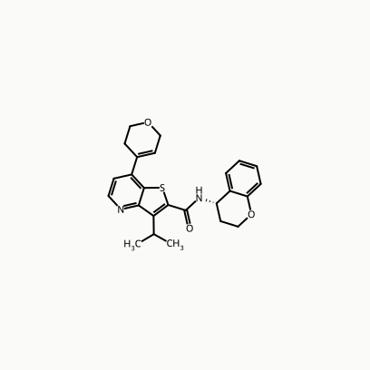 CC(C)c1c(C(=O)N[C@H]2CCOc3ccccc32)sc2c(C3=CCOCC3)ccnc12